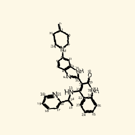 CC1CCN(c2ccc3nc(-c4c(NC(C)c5ccccn5)c5ccccc5[nH]c4=O)[nH]c3c2)CC1